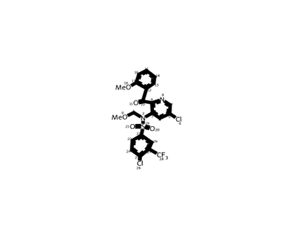 COCN(c1cc(Cl)cnc1C(=O)c1ccccc1OC)S(=O)(=O)c1ccc(Cl)c(C(F)(F)F)c1